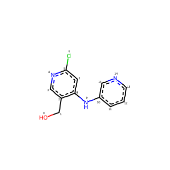 OCc1cnc(Cl)cc1Nc1cccnc1